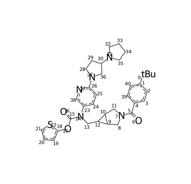 CC(C)(C)c1ccc(C(=O)N2CC3C(C2)C3CN(C(=O)Oc2cccs2)c2ccc(N3CCC(N4CCCC4)C3)nc2)cc1